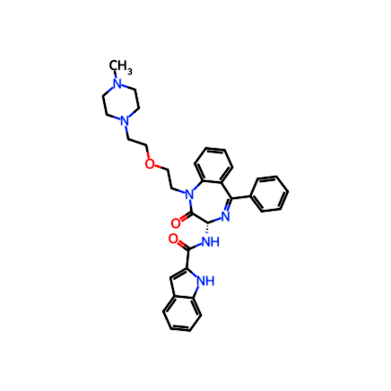 CN1CCN(CCOCCN2C(=O)[C@@H](NC(=O)c3cc4ccccc4[nH]3)N=C(c3ccccc3)c3ccccc32)CC1